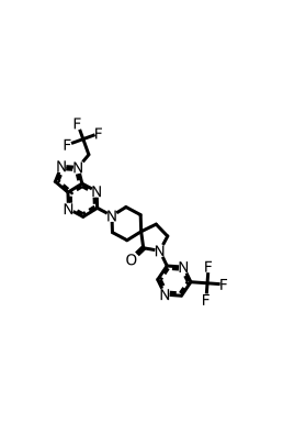 O=C1N(c2cncc(C(F)(F)F)n2)CCC12CCN(c1cnc3cnn(CC(F)(F)F)c3n1)CC2